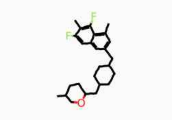 Cc1c(F)cc2cc(CC3CCC(CC4CCC(C)CO4)CC3)cc(C)c2c1F